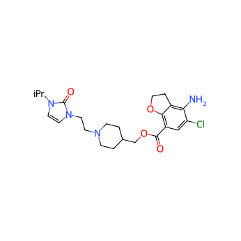 CC(C)n1ccn(CCN2CCC(COC(=O)c3cc(Cl)c(N)c4c3OCC4)CC2)c1=O